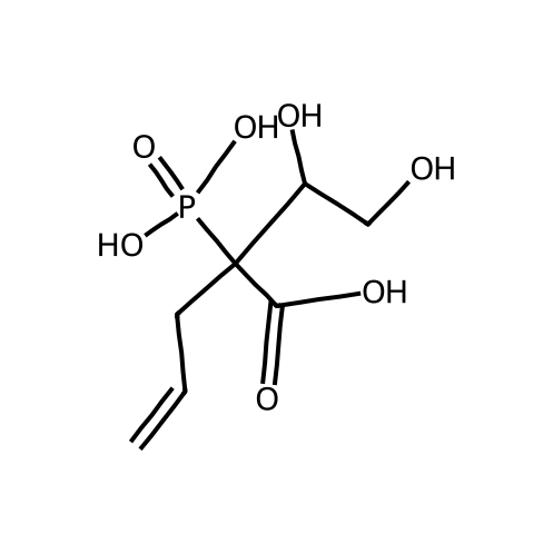 C=CCC(C(=O)O)(C(O)CO)P(=O)(O)O